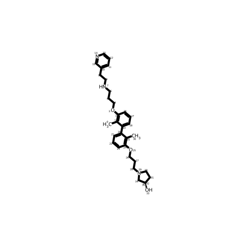 Cc1c(OCCCNCCc2cccnc2)cccc1-c1cccc(OCCCN2CC[C@@H](O)C2)c1C